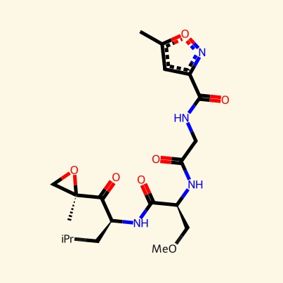 COC[C@H](NC(=O)CNC(=O)c1cc(C)on1)C(=O)N[C@@H](CC(C)C)C(=O)[C@@]1(C)CO1